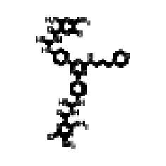 N=C(NC(=O)c1nc(Cl)c(N)nc1N)NC1CCN(c2nc(NCCCN3CCOCC3)nc(N3CCC(NC(=N)NC(=O)c4nc(Cl)c(N)nc4N)CC3)n2)CC1